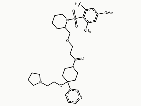 COc1cc(C)c(S(=O)(=O)N2CCCCC2COCCC(=O)N2CCC(OCCN3CCCC3)(c3cccnc3)CC2)c(C)c1